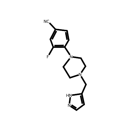 N#Cc1ccc(N2CCN(Cc3ccn[nH]3)CC2)c(F)c1